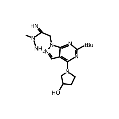 CN(N)C(=N)Cn1ncc2c(N3CCC(O)C3)nc(C(C)(C)C)nc21